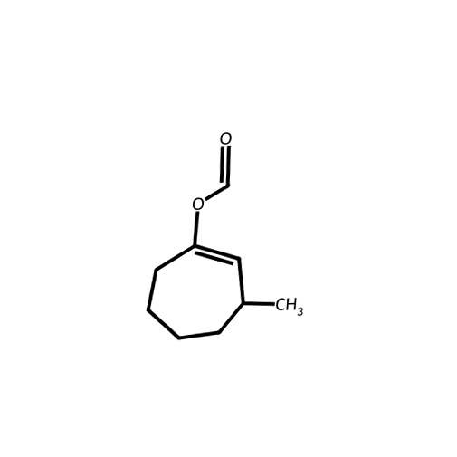 CC1C=C(OC=O)CCCC1